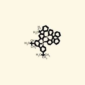 CC(C)(C)c1ccc2c(c1)c1cc(C(C)(C)C)cc3c1n2B1c2cccc4c2N(c2ccccc2C4(c2ccccc2)c2ccccc2)c2c1c-3cc1c2-c2ccccc2C1(C)C